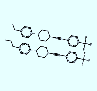 CCCc1ccc([C@H]2CC[C@H](C#Cc3ccc(C(F)(F)F)cc3)CC2)cc1.CCc1ccc([C@H]2CC[C@H](C#Cc3ccc(C(F)(F)F)cc3)CC2)cc1